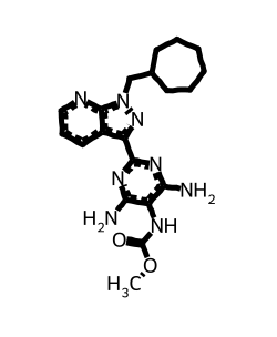 COC(=O)Nc1c(N)nc(-c2nn(CC3CCCCCC3)c3ncccc23)nc1N